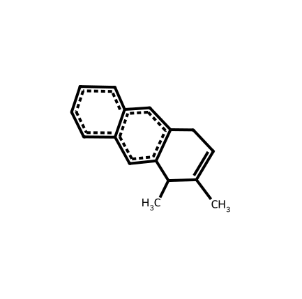 CC1=CCc2cc3ccccc3cc2C1C